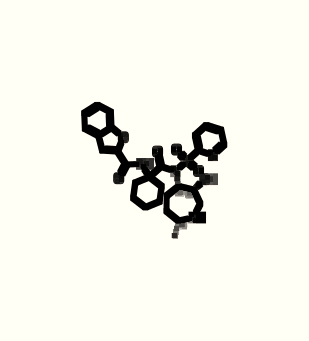 C[C@@H]1CC[C@H](N(C(=O)C2(NC(=O)c3cc4ccccc4o3)CCCCC2)S(=O)(=O)c2ccccn2)[C@@H](O)CN1